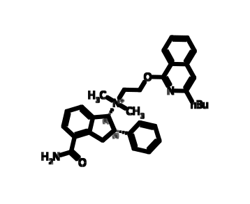 CCCCc1cc2ccccc2c(OCC[N+](C)(C)[C@H]2c3cccc(C(N)=O)c3C[C@H]2c2ccccc2)n1